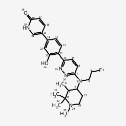 CC1C(N(CCF)c2ccc(-c3ccc(-c4ccc(=O)[nH]c4)cc3O)nn2)CCN(C)C1(C)C